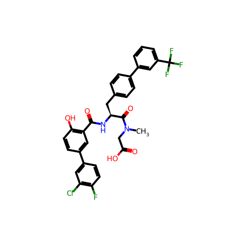 CN(CC(=O)O)C(=O)[C@H](Cc1ccc(-c2cccc(C(F)(F)F)c2)cc1)NC(=O)c1cc(-c2ccc(F)c(Cl)c2)ccc1O